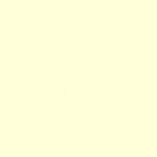 COC=O.I